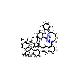 CC1(C)c2ccccc2C2(c3ccccc3-c3ccccc32)c2cc(-c3ccc4cccc(C5=C/CCC/C(c6ccccc6)=N/C(c6ccccc6)=N\5)c4c3)ccc21